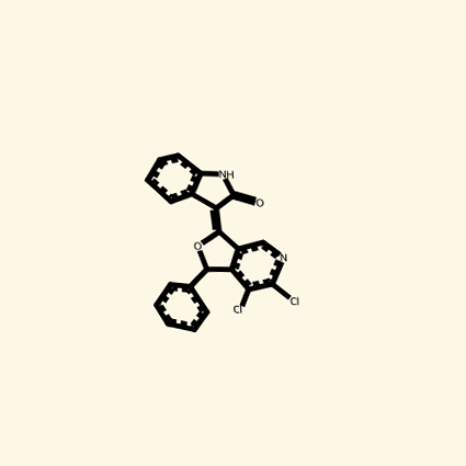 O=C1Nc2ccccc2C1=C1OC(c2ccccc2)c2c1cnc(Cl)c2Cl